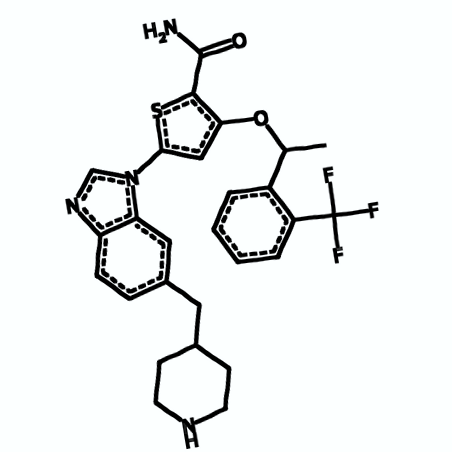 CC(Oc1cc(-n2cnc3ccc(CC4CCNCC4)cc32)sc1C(N)=O)c1ccccc1C(F)(F)F